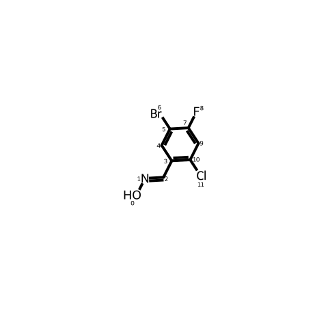 ON=Cc1cc(Br)c(F)cc1Cl